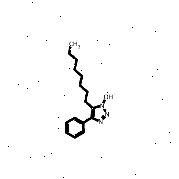 CCCCCCCCc1c(-c2ccccc2)nnn1O